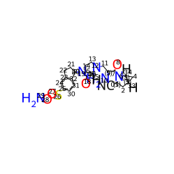 N#C[C@@H]1C[C@@H]2C[C@@H]2N1C(=O)[C@@H](N)CN1CC2C[C@H]1C(=O)N2[C@@H]1CCc2cc(SOON)ccc21